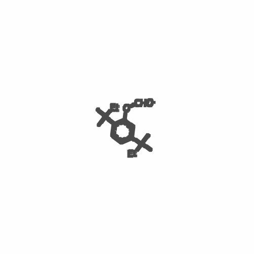 CCC(C)(C)c1ccc(C(C)(C)CC)c(O[C]=O)c1